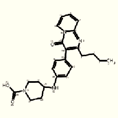 CCCCc1nc2ccccn2c(=O)c1-c1ccc(NC2CCN(C(=O)O)CC2)cc1